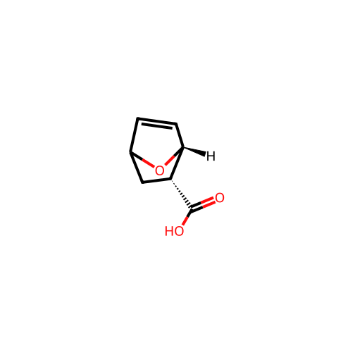 O=C(O)[C@@H]1CC2C=C[C@H]1O2